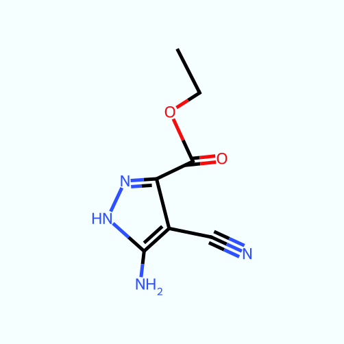 CCOC(=O)c1n[nH]c(N)c1C#N